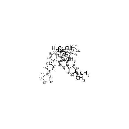 CCC1=Cc2c(-c3ccc(C4CCCCC4)cc3)cccc2[CH]1[Zr]([Cl])([Cl])([CH]1C(C2CCCCC2)=Cc2c(-c3ccc(C(C)C)cc3)cccc21)[SiH](C)C